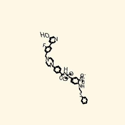 O=C(NS(=O)(=O)c1ccc(NCCSc2ccccc2)c([N+](=O)[O-])c1)c1ccc(N2CCN(Cc3ccc(-c4cncc(O)c4)c(F)c3)CC2)cc1